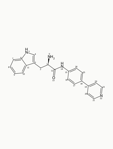 N[C@H](Cc1c[nH]c2ccccc12)C(=O)Nc1ccc(-c2ccncc2)cc1